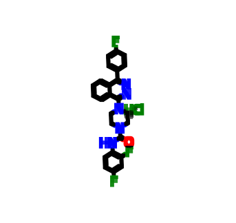 C[C@@H]1CN(C(=O)Nc2ccc(F)cc2F)CCN1c1nnc(-c2ccc(F)cc2)c2ccccc12.Cl